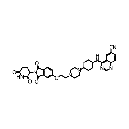 N#Cc1ccc2ncnc(NC3CCC(N4CCN(CCOc5ccc6c(c5)C(=O)N(C5CCC(=O)NC5=O)C6=O)CC4)CC3)c2c1